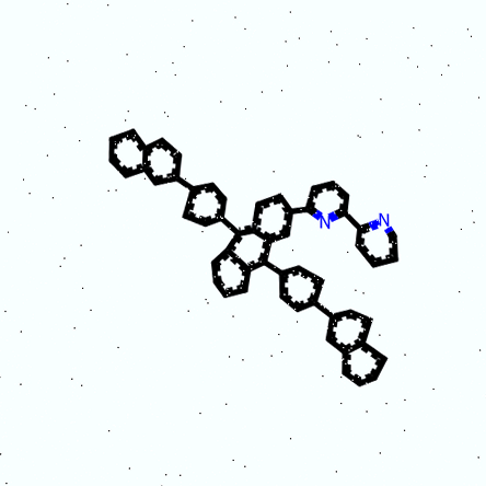 c1ccc(-c2cccc(-c3ccc4c(-c5ccc(-c6ccc7ccccc7c6)cc5)c5ccccc5c(-c5ccc(-c6ccc7ccccc7c6)cc5)c4c3)n2)nc1